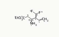 C=CC(=C(F)F)[C@@H](N)CC(=O)OCC